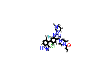 C=CC(=O)N1C[C@H](C)N(c2nc(N3CCCN(C)C3)nc3c(F)c(-c4c(C)ccc5[nH]ncc45)c(Cl)cc23)C[C@H]1C